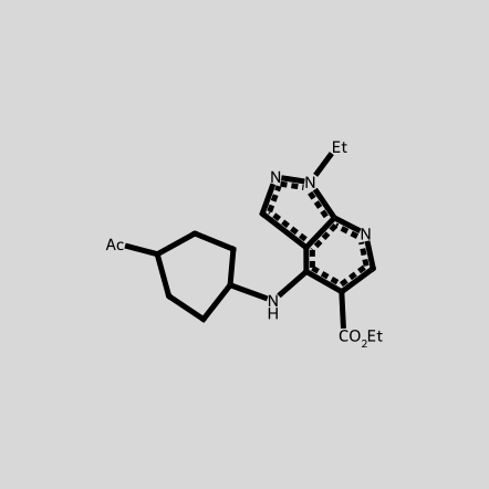 CCOC(=O)c1cnc2c(cnn2CC)c1NC1CCC(C(C)=O)CC1